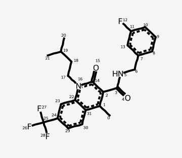 Cc1c(C(=O)NCc2cccc(F)c2)c(=O)n(CCC(C)C)c2cc(C(F)(F)F)ccc12